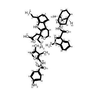 CCc1cccc2c3c([nH]c12)C(CC)(CC(=O)O)OCC3.CN1[C@@H]2CCC[C@H]1C[C@@H](NC(=O)c1nn(C)c3ccccc13)C2.Cc1noc(NS(=O)(=O)c2ccc(N)cc2)c1C